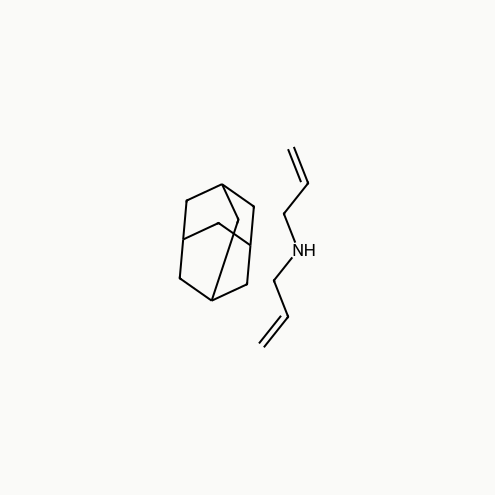 C1C2CC3CC1CC(C2)C3.C=CCNCC=C